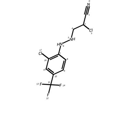 N#CC(Cl)CNNc1ccc(C(F)(F)F)cc1Cl